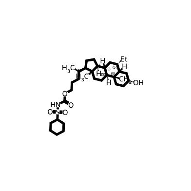 CC[C@H]1C[C@@H]2[C@H](CC[C@]3(C)C([C@H](C)CCCOC(=O)NS(=O)(=O)C4CCCCC4)CC[C@@H]23)[C@@]2(C)CC[C@@H](O)C[C@@H]12